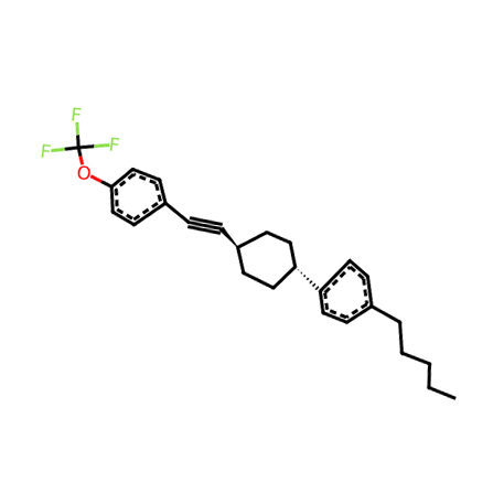 CCCCCc1ccc([C@H]2CC[C@H](C#Cc3ccc(OC(F)(F)F)cc3)CC2)cc1